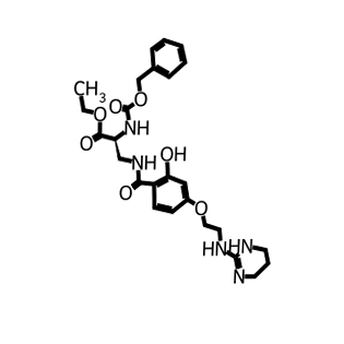 CCOC(=O)[C@H](CNC(=O)c1ccc(OCCNC2=NCCCN2)cc1O)NC(=O)OCc1ccccc1